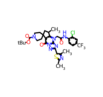 Cc1nc(C)c(-c2nc3n(CC(=O)Nc4ccc(C(F)(F)F)cc4Cl)c4c(c(=O)n3n2)C2(CCN(C(=O)OC(C)(C)C)CC2)CC4C)s1